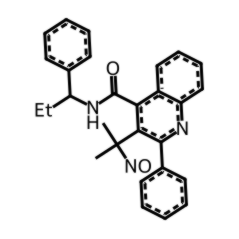 CCC(NC(=O)c1c(C(C)(C)N=O)c(-c2ccccc2)nc2ccccc12)c1ccccc1